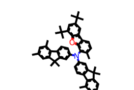 Cc1cc(C)c2c(c1)C(C)(C)c1cc(N(c3ccc4c(c3)C(C)(C)c3cc(C)cc(C)c3-4)c3c(C)ccc4c3oc3c(C(C)(C)C)cc(C(C)(C)C)cc34)ccc1-2